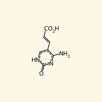 Nc1nc(=O)[nH]cc1C=CC(=O)O